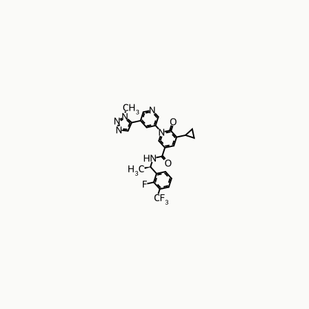 C[C@@H](NC(=O)c1cc(C2CC2)c(=O)n(-c2cncc(-c3cnnn3C)c2)c1)c1cccc(C(F)(F)F)c1F